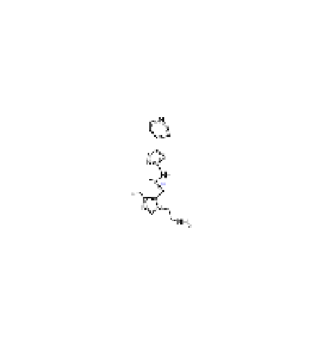 C=Cc1ncn(CCN)c1/C=C(\C)Nc1ncc(-c2ccncc2)s1